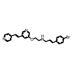 Brc1ccc(/C=C/CNCCOc2cncc(C=Cc3ccncc3)c2)cc1